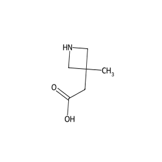 CC1(CC(=O)O)CNC1